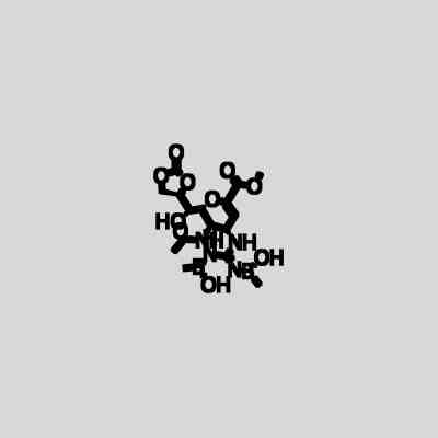 COC(=O)C1=C[C@H](N/C(=N\B(C)O)NB(C)O)[C@@H](NC(C)=O)[C@H]([C@H](O)[C@H]2COC(=O)O2)O1